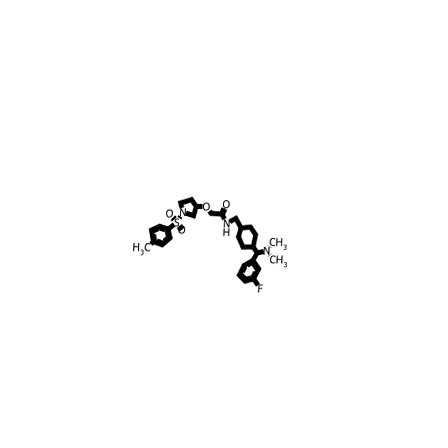 Cc1ccc(S(=O)(=O)N2CCC(OCC(=O)NCC3CCC(C(c4cccc(F)c4)N(C)C)CC3)C2)cc1